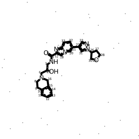 O=C(NCC(O)CN1CCc2ccccc2C1)c1cn2cc(-c3cnn(C4CCOC4)c3)ccc2n1